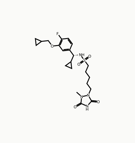 Cn1c(=O)[nH]c(=O)n1CCCCCS(=O)(=O)N[C@@H](c1ccc(F)c(OCC2CC2)c1)C1CC1